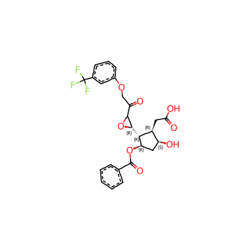 O=C(O)C[C@@H]1[C@@H]([C@H]2OC2C(=O)COc2cccc(C(F)(F)F)c2)[C@H](OC(=O)c2ccccc2)C[C@@H]1O